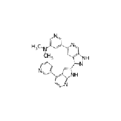 CN(C)c1cncc(-c2cc3c(-c4cc5c(-c6cccnc6)ccnc5[nH]4)n[nH]c3cn2)c1